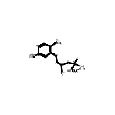 CCC(CCc1cc(C(F)(F)F)ccc1C(F)(F)F)CC(C)(N)C(=O)O